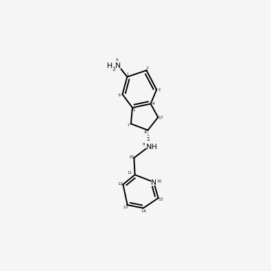 Nc1ccc2c(c1)C[C@@H](NCc1ccccn1)C2